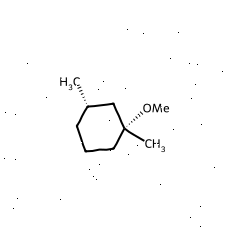 CO[C@]1(C)CCC[C@H](C)C1